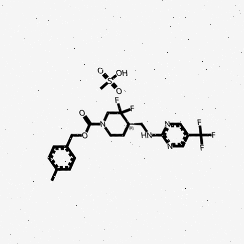 CS(=O)(=O)O.Cc1ccc(COC(=O)N2CC[C@H](CNc3ncc(C(F)(F)F)cn3)C(F)(F)C2)cc1